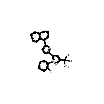 CC(C)(O)c1cc(-c2ccc(-c3cccc4ccccc34)s2)n(-c2ccccc2Cl)n1